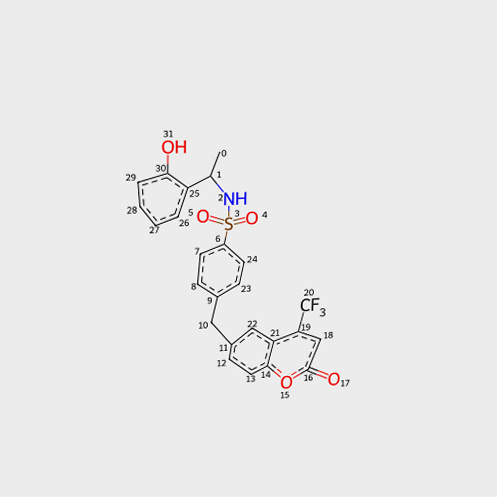 CC(NS(=O)(=O)c1ccc(Cc2ccc3oc(=O)cc(C(F)(F)F)c3c2)cc1)c1ccccc1O